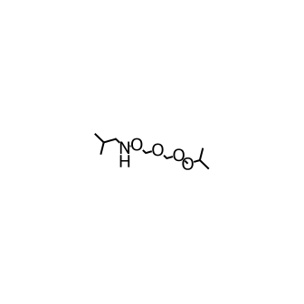 CC(C)CNOCOCOOC(C)C